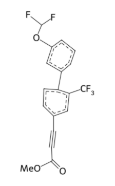 COC(=O)C#Cc1ccc(-c2cccc(OC(F)F)c2)c(C(F)(F)F)c1